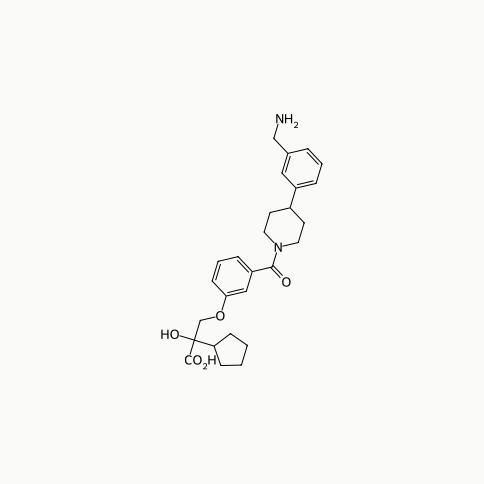 NCc1cccc(C2CCN(C(=O)c3cccc(OCC(O)(C(=O)O)C4CCCC4)c3)CC2)c1